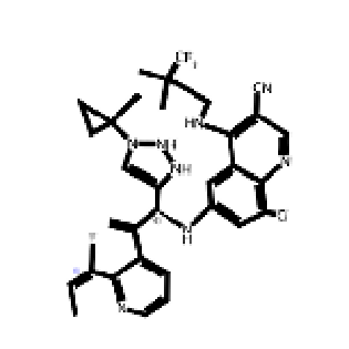 C=C(c1cccnc1/C(F)=C\C)[C@H](Nc1cc(Cl)c2ncc(C#N)c(NCC(C)(C)C(F)(F)F)c2c1)C1=CN(C2(C)CC2)NN1